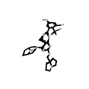 Oc1cc(Cl)c(C(F)(F)F)c(-c2ncc3c(N4CC5CCC(C4)N5)nc(OCC45CCCN4CCC5)nc3n2)c1